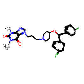 Cn1c(=O)c2c(ncn2CCCN2CCC(OC(c3ccc(F)cc3)c3ccc(F)cc3)CC2)n(C)c1=O